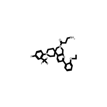 CCOc1ccccc1-c1ccc2c(n1)CN(C(=O)CCN)CC21CCN(c2ccc(F)cc2C(F)(F)F)CC1